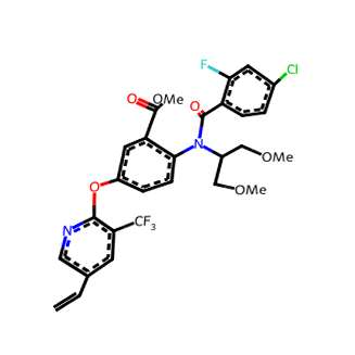 C=Cc1cnc(Oc2ccc(N(C(=O)c3ccc(Cl)cc3F)C(COC)COC)c(C(=O)OC)c2)c(C(F)(F)F)c1